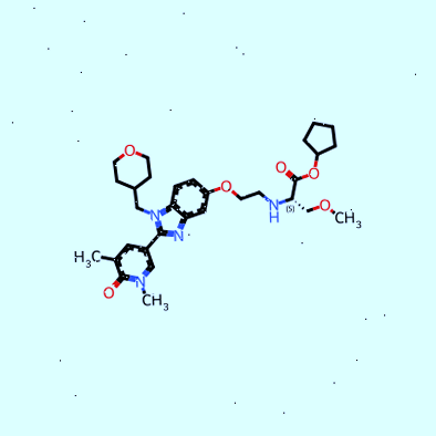 COC[C@H](NCCOc1ccc2c(c1)nc(-c1cc(C)c(=O)n(C)c1)n2CC1CCOCC1)C(=O)OC1CCCC1